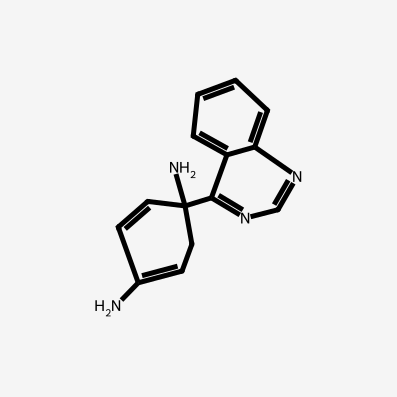 NC1=CCC(N)(c2ncnc3ccccc23)C=C1